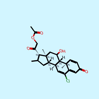 CC(=O)OCC(=O)[C@H]1C(C)C[C@H]2[C@@H]3C=C(Cl)C4=CC(=O)C=C[C@]4(C)[C@H]3C(O)C[C@]12C